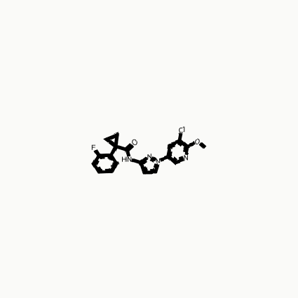 COc1ncc(-n2ccc(NC(=O)C3(c4ccccc4F)CC3)n2)cc1Cl